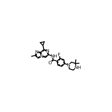 Cc1cn2cc(NC(=O)c3ccc(N4CCNC(C)(C)C4)cc3F)nc(C3CC3)c2n1